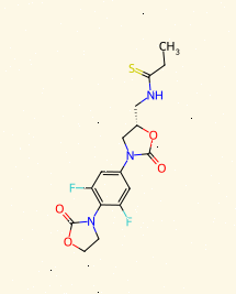 CCC(=S)NC[C@H]1CN(c2cc(F)c(N3CCOC3=O)c(F)c2)C(=O)O1